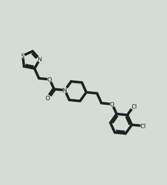 O=C(OCc1cscn1)N1CCC(CCOc2cccc(Cl)c2Cl)CC1